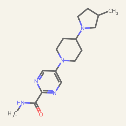 CNC(=O)c1ncc(N2CCC(N3CCC(C)C3)CC2)cn1